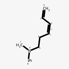 C=C/C=C\CCN(C)C(C)C